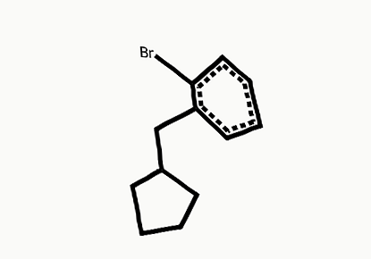 Brc1ccccc1C[C]1CCCC1